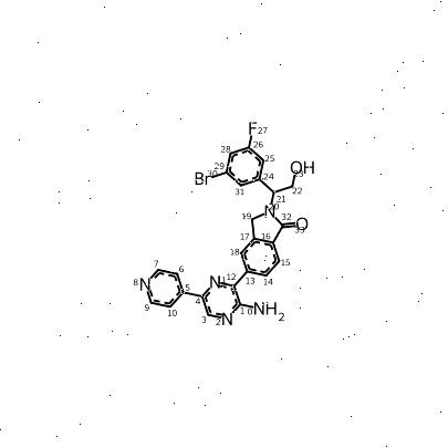 Nc1ncc(-c2ccncc2)nc1-c1ccc2c(c1)CN(C(CO)c1cc(F)cc(Br)c1)C2=O